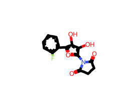 O=C1CCC(=O)N1c1oc(-c2ccccc2F)c(O)c1O